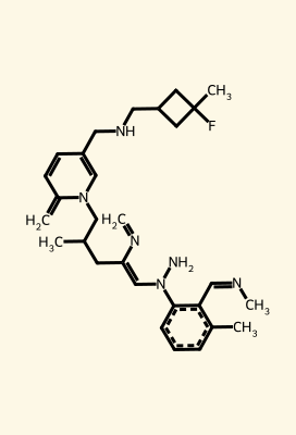 C=N/C(=C\N(N)c1cccc(C)c1/C=N\C)CC(C)CN1C=C(CNCC2CC(C)(F)C2)C=CC1=C